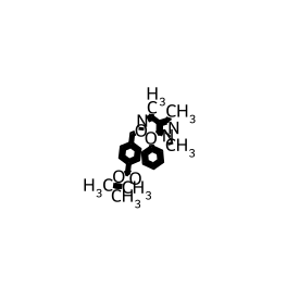 CC(=NOCc1ccc(C(=O)OC(C)(C)C)cc1)c1c(C)nn(C)c1Oc1ccccc1